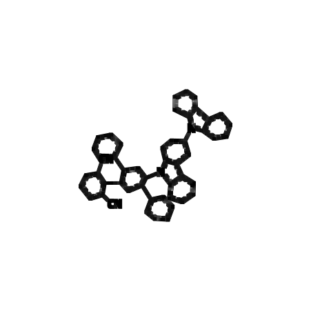 N#Cc1cccc(C#N)c1-c1cc(-c2ccccc2)c(-n2c3ccccc3c3cc(-n4c5ccccc5c5ccccc54)ccc32)cc1-c1ccccc1